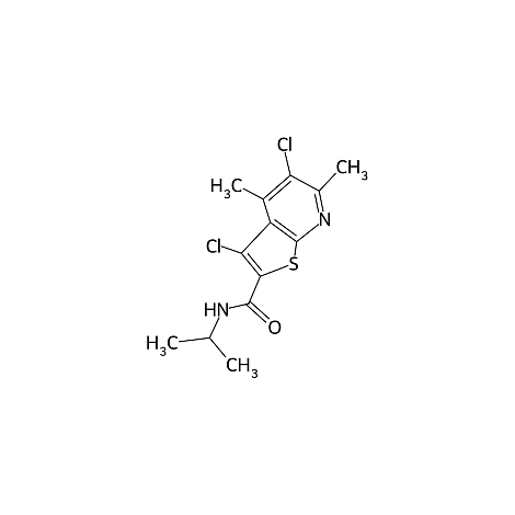 Cc1nc2sc(C(=O)NC(C)C)c(Cl)c2c(C)c1Cl